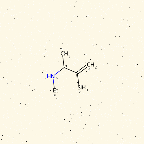 C=C([SiH3])C(C)NCC